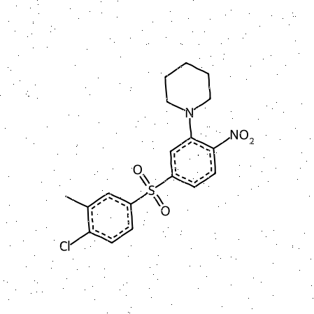 Cc1cc(S(=O)(=O)c2ccc([N+](=O)[O-])c(N3CCCCC3)c2)ccc1Cl